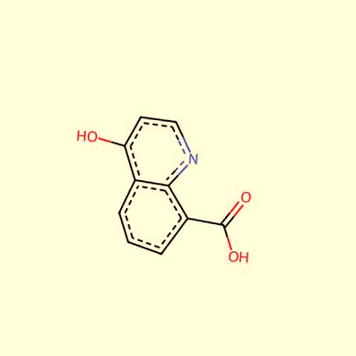 O=C(O)c1cccc2c(O)ccnc12